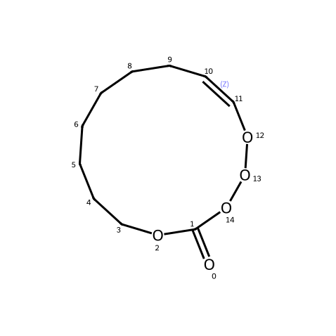 O=C1OCCCCCCC/C=C\OOO1